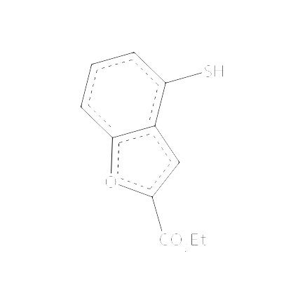 CCOC(=O)c1cc2c(S)cccc2o1